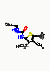 CCc1sc(NC(=O)NCC(C)(C)C)c(C(=O)O)c1C